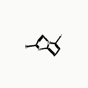 Ic1ccn2c(I)ccc2n1